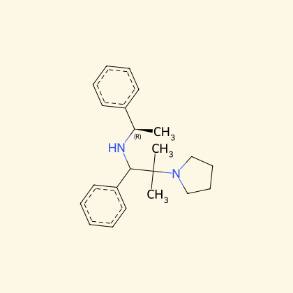 C[C@@H](NC(c1ccccc1)C(C)(C)N1CCCC1)c1ccccc1